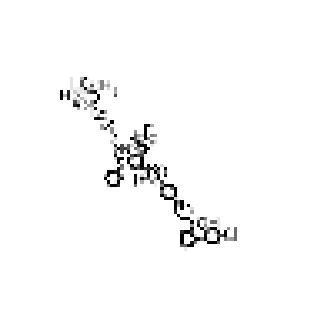 CC(C)(C)OC(=O)N1CC2(CN(CCC(CSc3ccccc3)Nc3ccc(S(=O)(=O)NC(=O)c4ccc(N5CCC([C@@H](O)c6ccccc6-c6ccc(Cl)cc6)CC5)cc4)cc3S(=O)(=O)C(F)(F)F)C2)C1